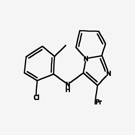 Cc1cccc(Cl)c1Nc1c(C(C)C)nc2ccccn12